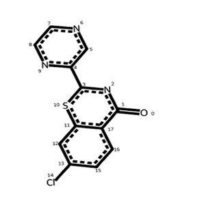 O=c1nc(-c2cnccn2)sc2cc(Cl)ccc12